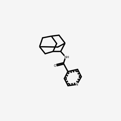 O=C(NC1C2CC3CC(C2)CC1C3)c1ccncc1